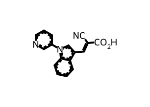 N#C/C(=C\c1cn(-c2cccnc2)c2ccccc12)C(=O)O